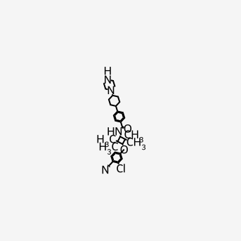 CC1(C)[C@H](NC(=O)c2ccc(C3CCC(N4CCNCC4)CC3)cc2)C(C)(C)[C@H]1Oc1ccc(C#N)c(Cl)c1